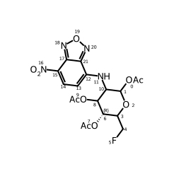 CC(=O)OC1OC(CF)[C@H](OC(C)=O)C(OC(C)=O)C1Nc1ccc([N+](=O)[O-])c2nonc12